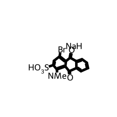 CNc1c(S(=O)(=O)O)cc(Br)c2c1C(=O)c1ccccc1C2=O.[NaH]